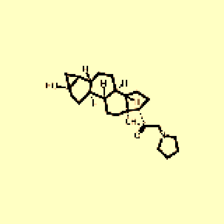 C[C@]12CC[C@@H]3[C@H]4CC[C@]5(O)CC5[C@@H]4CC[C@H]3[C@@H]1CC[C@@H]2C(=O)CN1CCCC1